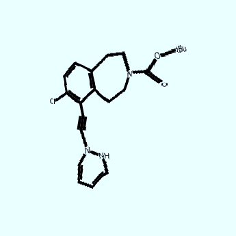 CC(C)(C)OC(=O)N1CCc2ccc(Cl)c(C#CN3C=CC=CN3)c2CC1